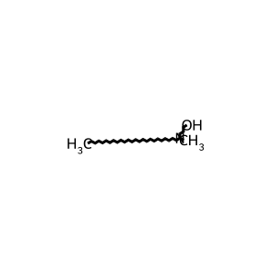 CCCCCCCCCCCCCCCCCCCCCCCCCN(C)CCCO